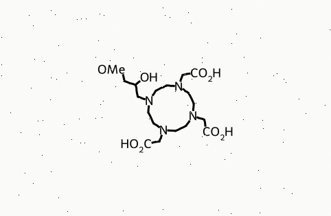 COCC(O)CN1CCN(CC(=O)O)CCN(CC(=O)O)CCN(CC(=O)O)CC1